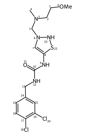 COCCN(C)CN1C=C(NC(=O)NCc2ccc(Cl)c(Cl)c2)SN1